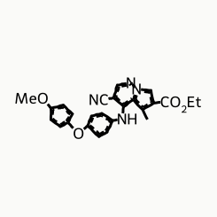 CCOC(=O)c1cn2ncc(C#N)c(Nc3ccc(Oc4ccc(OC)cc4)cc3)c2c1C